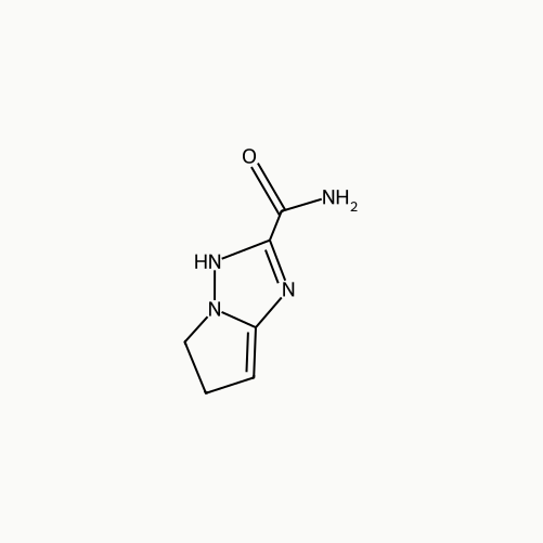 NC(=O)C1=NC2=CCCN2N1